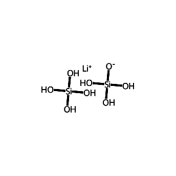 O[Si](O)(O)O.[Li+].[O-][Si](O)(O)O